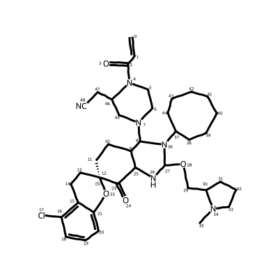 C=CC(=O)N1CCN(C2C3CC[C@]4(CCc5c(Cl)cccc5O4)C(=O)C3NC(OCC3CCCN3C)N2C2CCCCCCC2)CC1CC#N